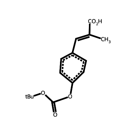 CC(=Cc1ccc(OC(=O)OC(C)(C)C)cc1)C(=O)O